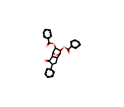 O=C(OC1C2OC(C1OC(=O)c1ccccc1)C1C(=O)C(c3ccccc3)CC21)c1ccccc1